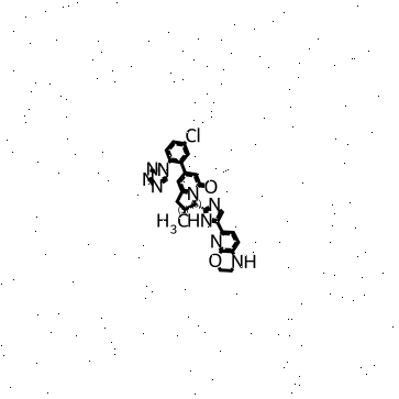 C[C@H]1Cc2cc(-c3cc(Cl)ccc3-n3cnnn3)cc(=O)n2[C@@H]1c1ncc(-c2ccc3c(n2)OCCN3)[nH]1